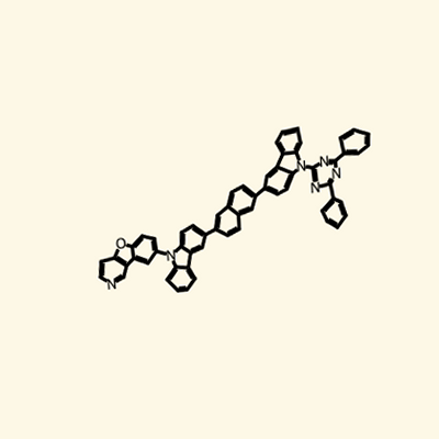 c1ccc(-c2nc(-c3ccccc3)nc(-n3c4ccccc4c4cc(-c5ccc6cc(-c7ccc8c(c7)c7ccccc7n8-c7ccc8oc9ccncc9c8c7)ccc6c5)ccc43)n2)cc1